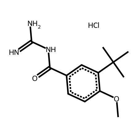 COc1ccc(C(=O)NC(=N)N)cc1C(C)(C)C.Cl